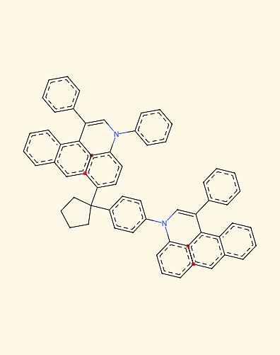 C(=C(\c1ccccc1)c1cccc2ccccc12)/N(c1ccccc1)c1ccc(C2(c3ccc(N(/C=C(/c4ccccc4)c4cccc5ccccc45)c4ccccc4)cc3)CCCC2)cc1